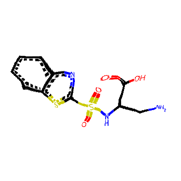 NCC(NS(=O)(=O)c1nc2ccccc2s1)C(=O)O